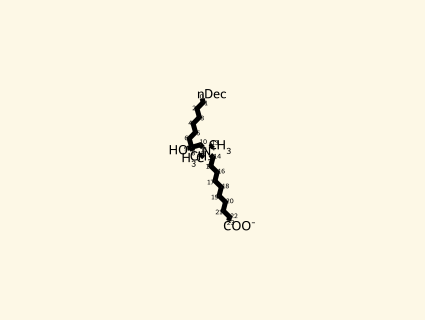 CCCCCCCCCCCCCCCCC(C)(O)C[N+](C)(C)CCCCCCCCCC(=O)[O-]